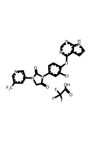 CCc1cc(N2C(=O)CN(c3cncc(C(F)(F)F)c3)C2=O)ccc1Oc1ncnc2[nH]ccc12.O=C(O)C(F)(F)F